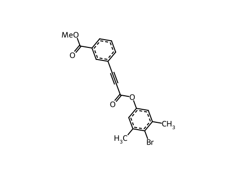 COC(=O)c1cccc(C#CC(=O)Oc2cc(C)c(Br)c(C)c2)c1